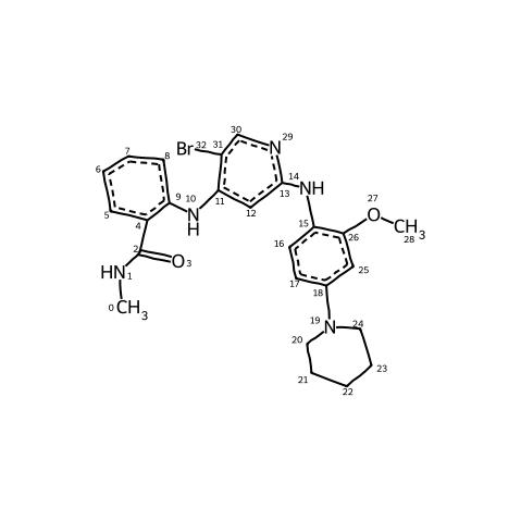 CNC(=O)c1ccccc1Nc1cc(Nc2ccc(N3CCCCC3)cc2OC)ncc1Br